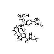 CS(=O)(=O)O.Cc1cnc(C(=O)Nc2ccc(C(=N)N)cc2)c(-c2ccc(C(=O)NCC(C)(C)C)cc2C(=O)O)c1